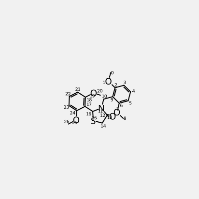 COc1cccc(OC)c1CN1C(=O)CSC1c1c(OC)cccc1OC